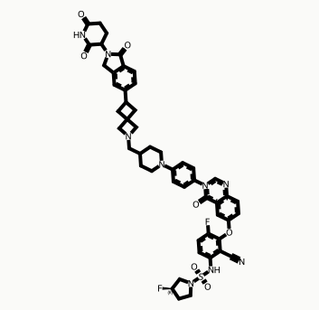 N#Cc1c(NS(=O)(=O)N2CC[C@@H](F)C2)ccc(F)c1Oc1ccc2ncn(-c3ccc(N4CCC(CN5CC6(CC(c7ccc8c(c7)CN(C7CCC(=O)NC7=O)C8=O)C6)C5)CC4)cc3)c(=O)c2c1